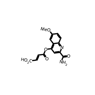 COc1ccc2nc(C(N)=O)cc(OC(=O)/C=C/C(=O)O)c2c1